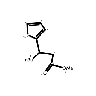 CCCCC(CC(=O)OC)c1cccs1